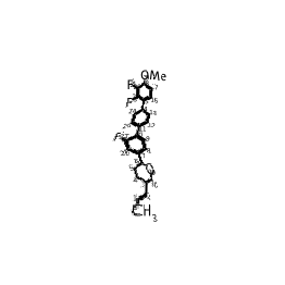 C/C=C/C1CCC(c2ccc(-c3ccc(-c4ccc(OC)c(F)c4F)cc3)c(F)c2)OC1